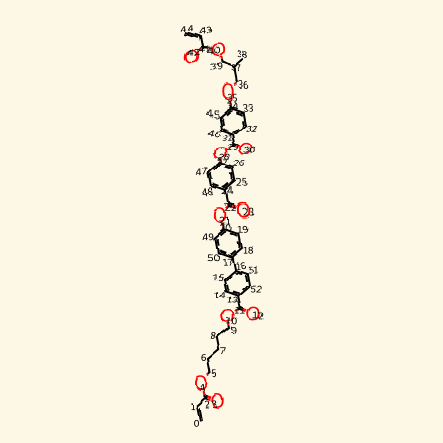 C=CC(=O)OCCCCCOC(=O)c1ccc(-c2ccc(OC(=O)c3ccc(OC(=O)c4ccc(OCC(C)COC(=O)C=C)cc4)cc3)cc2)cc1